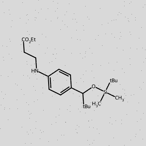 CCOC(=O)CCNc1ccc(C(O[Si](C)(C)C(C)(C)C)C(C)(C)C)cc1